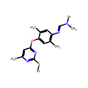 CCSc1nc(C)cc(Oc2cc(C)c(N=CN(C)CC)cc2C)n1